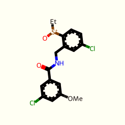 CC[S+]([O-])c1ccc(Cl)cc1CNC(=O)c1cc(Cl)cc(OC)c1